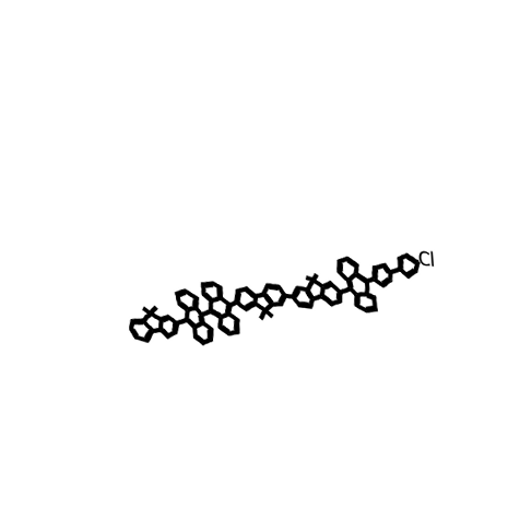 CC1(C)c2cc(-c3ccc4c(c3)C(C)(C)c3cc(-c5c6ccccc6c(-c6c7ccccc7c(-c7ccc8c(c7)C(C)(C)c7ccccc7-8)c7ccccc67)c6ccccc56)ccc3-4)ccc2-c2ccc(-c3c4ccccc4c(-c4ccc(-c5ccc(Cl)cc5)cc4)c4ccccc34)cc21